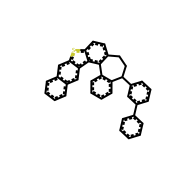 c1ccc(-c2cccc(C3CCc4ccc5sc6cc7ccccc7cc6c5c4-c4ccccc43)c2)cc1